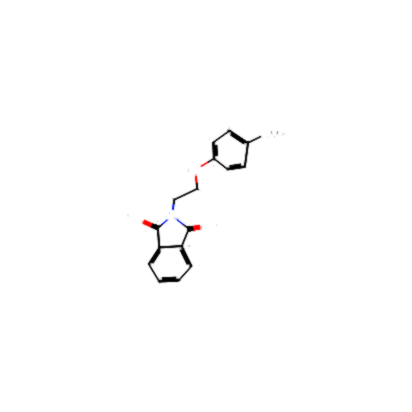 CSc1ccc(OCCN2C(=O)c3ccccc3C2=O)cc1